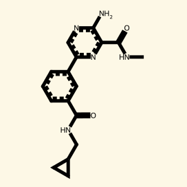 CNC(=O)c1nc(-c2cccc(C(=O)NCC3CC3)c2)cnc1N